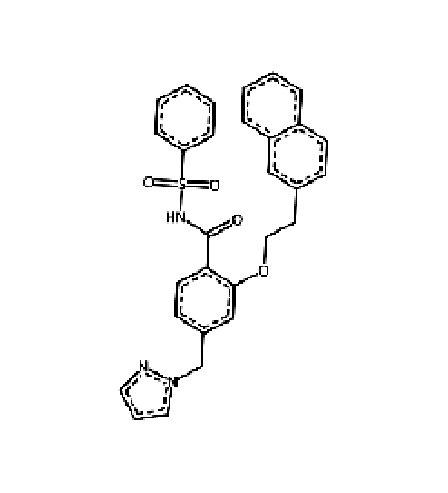 O=C(NS(=O)(=O)c1ccccc1)c1ccc(Cn2cccn2)cc1OCCc1ccc2ccccc2c1